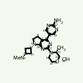 CN[C@H]1C[C@H](N2CCc3c(-c4cnc(N)nc4)nc(N4CCOC[C@@H]4C)nc32)C1.Cl